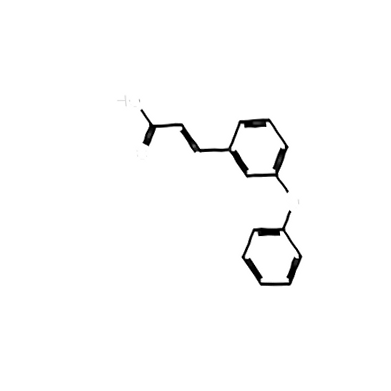 O=C(O)/C=C/c1cccc(Oc2ccccc2)c1